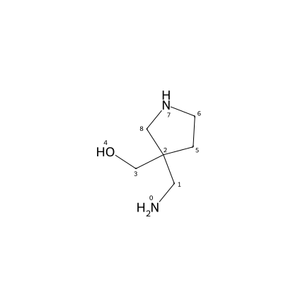 NCC1(CO)CCNC1